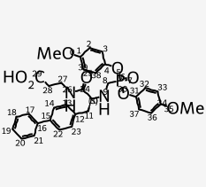 COc1ccc(OP(=O)(CN[C@@H](Cc2ccc(-c3ccccc3)cc2)C(=O)NCCC(=O)O)Oc2ccc(OC)cc2)cc1